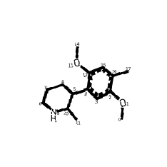 COc1cc(C2CCCNC2C)c(OC)cc1C